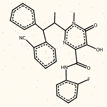 CC(c1nc(C(=O)Nc2ccccc2F)c(O)c(=O)n1C)C(c1ccccc1)c1ccccc1C#N